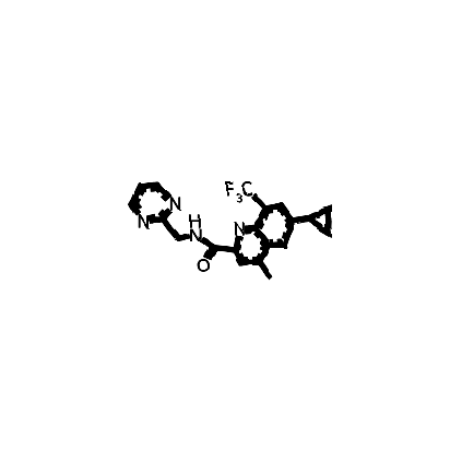 Cc1cc(C(=O)NCc2ncccn2)nc2c(C(F)(F)F)cc(C3CC3)cc12